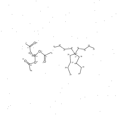 CC(=O)O[BH-](OC(C)=O)OC(C)=O.CCCC[N+](CCCC)(CCCC)CCCC